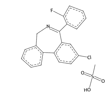 CS(=O)(=O)O.Fc1ccccc1C1=NCc2ccccc2-c2ccc(Cl)cc21